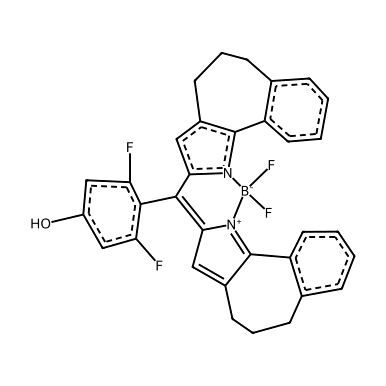 Oc1cc(F)c(C2=C3C=C4CCCc5ccccc5C4=[N+]3[B-](F)(F)n3c2cc2c3-c3ccccc3CCC2)c(F)c1